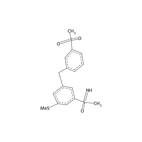 CSc1cc(Cc2cccc(S(C)(=O)=O)c2)cc(S(C)(=N)=O)c1